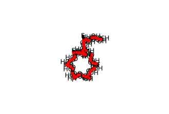 O=P(O)(O)OCCOP(=O)(O)OCC(CNF)COP(=O)(O)OCCOP(=O)(O)OCC(CNF)COP(=O)(O)OCCOP(=O)(O)OCC(CNF)COP(=O)(O)OCCOP(=O)(O)OCC(CNF)COP(=O)(O)OCCOP(=O)(O)OCC(CNF)COP(=O)(O)OCCOP(=O)(O)OCC(CNF)COP(=O)(O)OCCOP(=O)(O)OCC(CNF)COP(=O)(O)OCCOP(=O)(O)OCCOP(=O)(O)OCS